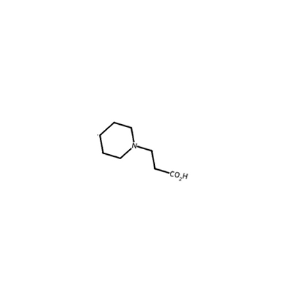 O=C(O)CCN1CC[CH]CC1